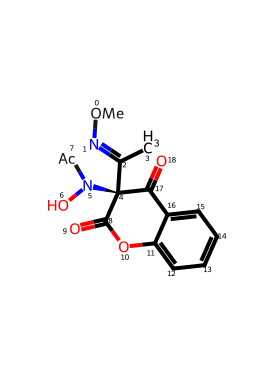 CO/N=C(\C)[C@@]1(N(O)C(C)=O)C(=O)Oc2ccccc2C1=O